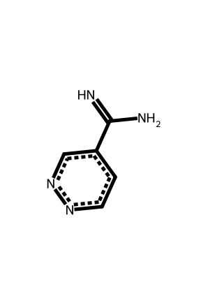 N=C(N)c1ccnnc1